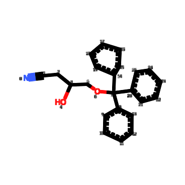 N#CCC(O)COC(c1ccccc1)(c1ccccc1)c1ccccc1